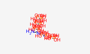 NCCN.O=P(O)(O)CP(=O)(O)O.O=P(O)(O)CP(=O)(O)O.O=P(O)(O)CP(=O)(O)O.O=P(O)(O)CP(=O)(O)O.O=P(O)(O)CP(=O)(O)O